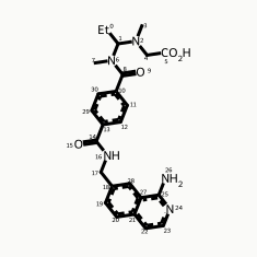 CCC(N(C)CC(=O)O)N(C)C(=O)c1ccc(C(=O)NCc2ccc3ccnc(N)c3c2)cc1